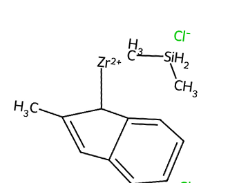 CC1=Cc2ccccc2[CH]1[Zr+2].C[SiH2]C.[Cl-].[Cl-]